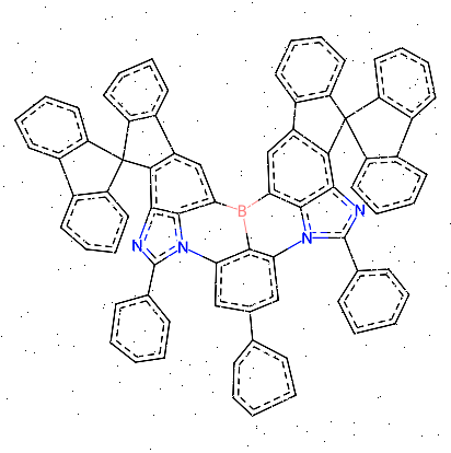 c1ccc(-c2cc3c4c(c2)-n2c(-c5ccccc5)nc5c6c(cc(c52)B4c2cc4c(c5nc(-c7ccccc7)n-3c25)C2(c3ccccc3-c3ccccc32)c2ccccc2-4)-c2ccccc2C62c3ccccc3-c3ccccc32)cc1